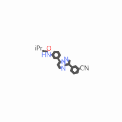 CC(C)CC(=O)Nc1cccc(-c2ccnc3c(-c4cccc(C#N)c4)cnn23)c1